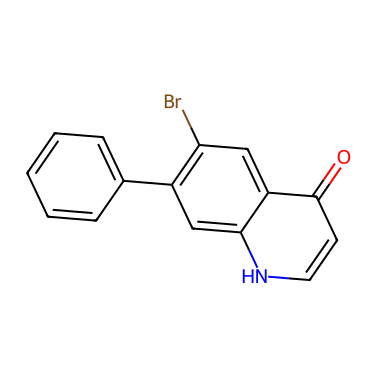 O=c1cc[nH]c2cc(-c3ccccc3)c(Br)cc12